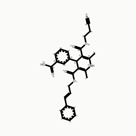 CC1=C(C(=O)OC/C=C/c2ccccc2)C(c2cccc(C(=O)O)c2)C(C(=O)OCCC#N)=C(C)N1